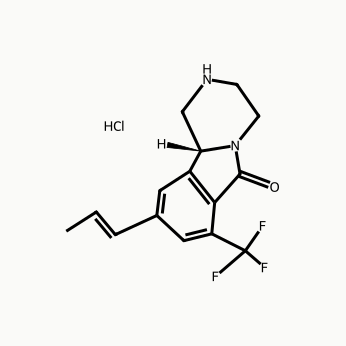 CC=Cc1cc2c(c(C(F)(F)F)c1)C(=O)N1CCNC[C@@H]21.Cl